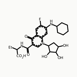 CCC(NC(=O)c1cn(C2CC(O)C(O)C2O)c2cc(NC3CCCCC3)c(F)cc2c1=O)C(=O)O